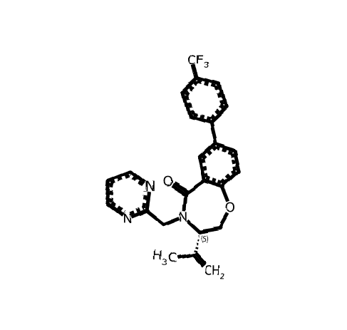 C=C(C)[C@H]1COc2ccc(-c3ccc(C(F)(F)F)cc3)cc2C(=O)N1Cc1ncccn1